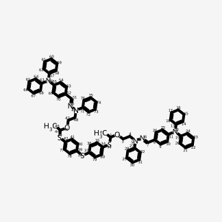 CC(OCCN(/N=C/c1ccc(N(C2=CCCC=C2)c2ccccc2)cc1)c1ccccc1)Sc1ccc(Sc2ccc(SC(C)OCCN(/N=C/c3ccc(N(c4ccccc4)c4ccccc4)cc3)c3ccccc3)cc2)cc1